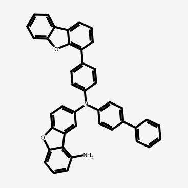 Nc1cccc2oc3ccc(N(c4ccc(-c5ccccc5)cc4)c4ccc(-c5cccc6c5oc5ccccc56)cc4)cc3c12